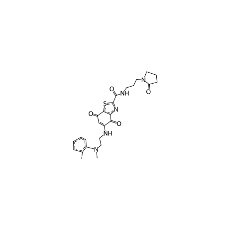 Cc1ccccc1N(C)CCNC1=CC(=O)c2sc(C(=O)NCCCN3CCCC3=O)nc2C1=O